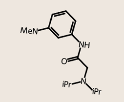 CNc1cccc(NC(=O)CN(C(C)C)C(C)C)c1